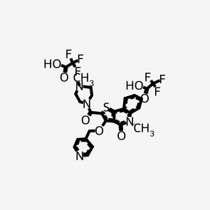 CN1CCN(C(=O)c2sc3c(c2OCc2ccncc2)c(=O)n(C)c2ccccc32)CC1.O=C(O)C(F)(F)F.O=C(O)C(F)(F)F